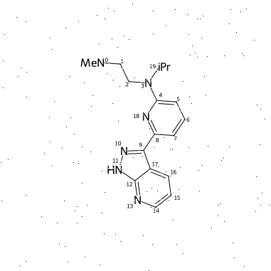 CNCCN(c1cccc(-c2n[nH]c3ncccc23)n1)C(C)C